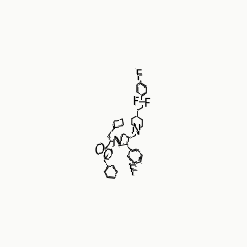 O=C(OCc1ccccc1)[C@@H](CC1CCC1)N1CC(CN2CCC(CCC(F)(F)c3ccc(F)cc3)CC2)C(c2cccc(F)c2)C1